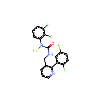 O=C(NCc1cccnc1-c1cc(F)ccc1F)N(S)c1cccc(Cl)c1Cl